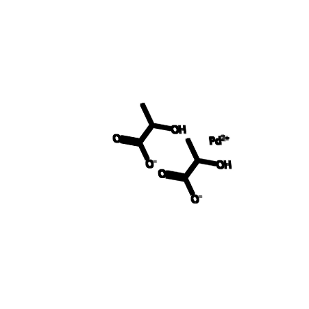 CC(O)C(=O)[O-].CC(O)C(=O)[O-].[Pd+2]